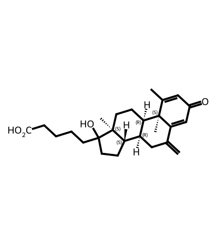 C=C1C[C@@H]2[C@@H](CC[C@@]3(C)[C@H]2CCC3(O)CCCCC(=O)O)[C@@]2(C)C(C)=CC(=O)C=C12